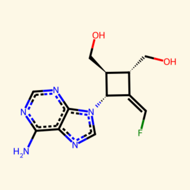 Nc1ncnc2c1ncn2[C@H]1/C(=C\F)[C@@H](CO)[C@@H]1CO